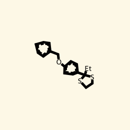 CCC1(c2ccc(OCc3ccccc3)cc2)SCCS1